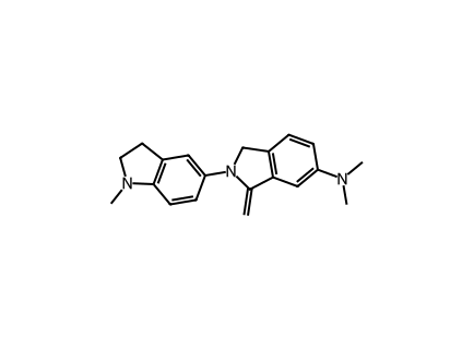 C=C1c2cc(N(C)C)ccc2CN1c1ccc2c(c1)CCN2C